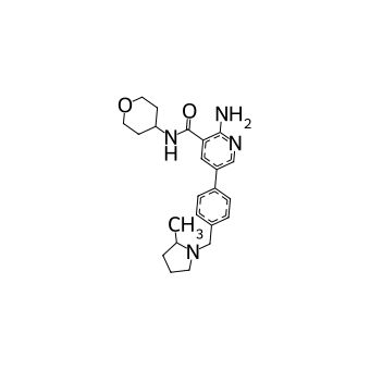 CC1CCCN1Cc1ccc(-c2cnc(N)c(C(=O)NC3CCOCC3)c2)cc1